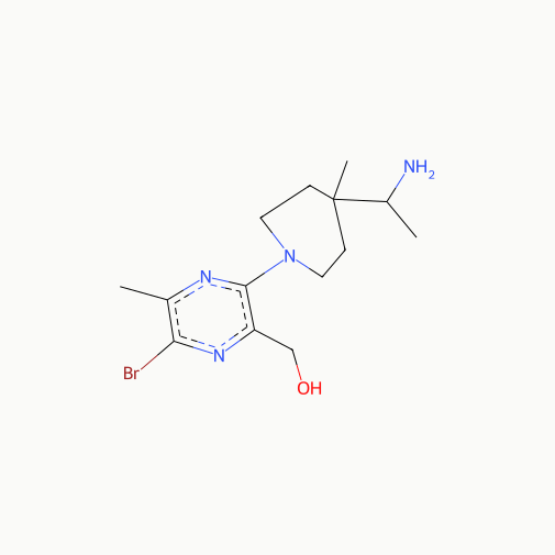 Cc1nc(N2CCC(C)(C(C)N)CC2)c(CO)nc1Br